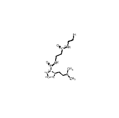 C[13C](=O)CC[15NH][13C](=O)CCN[13C](=O)[13CH]1[13CH2][13CH2][13CH2]N1CCN(C)C